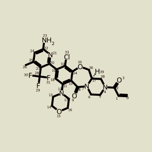 C=CC(=O)N1CCN2C(=O)c3c(N4CCOCC4)cc(-c4nc(N)cc(C)c4C(F)(F)F)c(Cl)c3OC[C@H]2C1